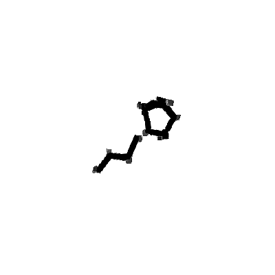 C1SCSS1.CCCC